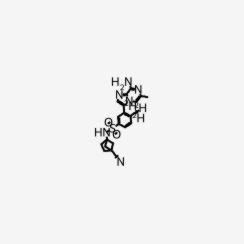 [2H]C([2H])([2H])c1ccc(S(=O)(=O)NC23CCC(C#N)(C2)C3)cc1-c1cnc2c(N)nc(C)cn12